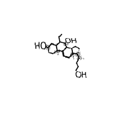 CCC1C2C[C@H](O)CC[C@]2(C)C2CC[C@@]3(C)C(CC[C@@H]3[C@H](C)CCCO)C2[C@H]1O